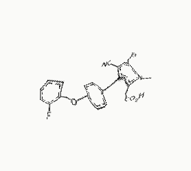 CCc1c(C#N)c(-c2ccc(Oc3ccccc3F)cc2)c(C(=O)O)n1C